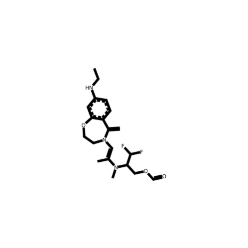 C=C1c2ccc(NCC)cc2OCCN1/C=C(\C)N(C)C(COC=O)C(F)F